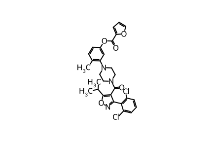 Cc1ccc(OC(=O)c2ccco2)cc1N1CCN(C(=O)c2c(-c3c(Cl)cccc3Cl)noc2C(C)C)CC1